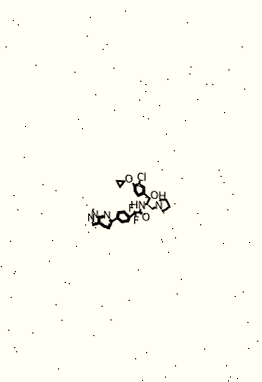 Cn1ncc2ccc(-c3ccc(C(F)(F)C(=O)N[C@H](CN4CCCC4)[C@H](O)c4ccc(OC5CC5)c(Cl)c4)cc3)nc21